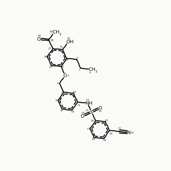 CCCc1c(OCc2cccc(NS(=O)(=O)c3cccc(C#N)c3)c2)ccc(C(C)=O)c1O